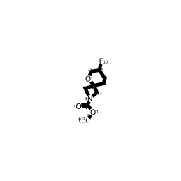 CC(C)(C)OC(=O)N1CC2(CCC(F)CO2)C1